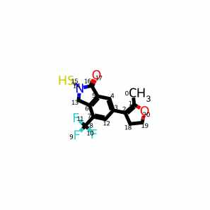 CC1=C(c2cc3c(c(C(F)(F)F)c2)CN(S)C3=O)CCO1